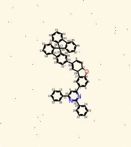 C1=CC2Oc3ccc(-c4cc(-c5ccccc5)nc(-c5ccccc5)n4)cc3C2C=C1c1ccc2c(c1)C1(c3ccccc3-c3ccccc31)c1ccccc1-2